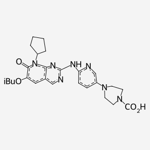 CC(C)COc1cc2cnc(Nc3ccc(N4CCN(C(=O)O)CC4)cn3)nc2n(C2CCCC2)c1=O